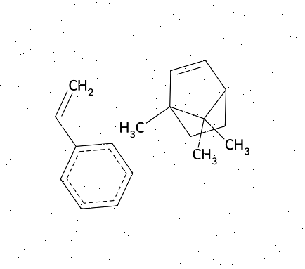 C=Cc1ccccc1.CC12C=CC(CC1)C2(C)C